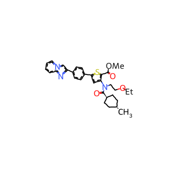 CCOCCN(c1cc(-c2ccc(-c3cn4ccccc4n3)cc2)sc1C(=O)OC)C(=O)[C@H]1CC[C@H](C)CC1